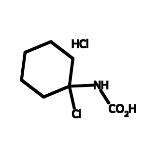 Cl.O=C(O)NC1(Cl)CCCCC1